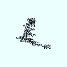 CCOC(=O)CC(SP(=S)(OC)OC)C(=O)OCC.CCOP(=S)(OCC)OP(=S)(OCC)OCC.CCOP(=S)(OCC)SCC[S+]([O-])CC.CCOP(=S)(OCC)SCSC(C)(C)C.CCOP(=S)(OCC)SCSCC.CC[S+]([O-])CC(C)SP(=O)(OC)OC.CC[S+]([O-])CCSP(=O)(OC)OC.COC(=O)/C(C)=C/OP(=S)(OC)OC.COP(=S)(OC)SCCSC(C)C